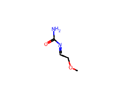 COCC=NC(N)=O